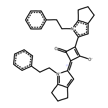 O=C1C(c2cc3c(n2CCc2ccccc2)CCC3)=C([O-])/C1=C1\C=C2CCCC2=[N+]1CCc1ccccc1